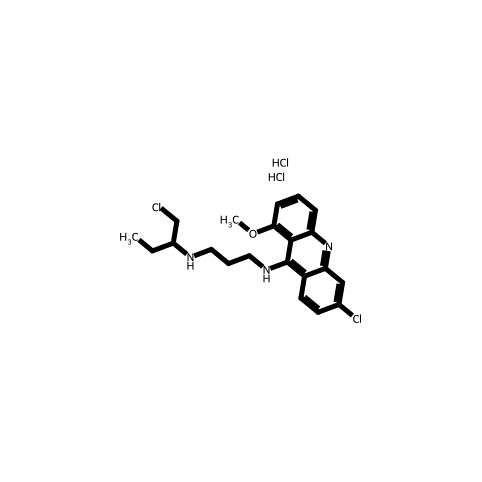 CCC(CCl)NCCCNc1c2ccc(Cl)cc2nc2cccc(OC)c12.Cl.Cl